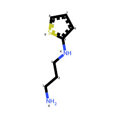 NCCCNc1cccs1